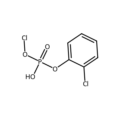 O=P(O)(OCl)Oc1ccccc1Cl